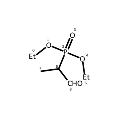 CCOP(=O)(OCC)C(C)C=O